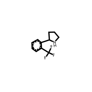 FC(F)(F)c1ccccc1C1CCCN1